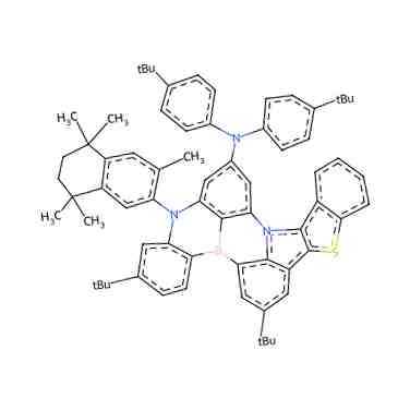 Cc1cc2c(cc1N1c3cc(C(C)(C)C)ccc3B3c4c1cc(N(c1ccc(C(C)(C)C)cc1)c1ccc(C(C)(C)C)cc1)cc4-n1c4c3cc(C(C)(C)C)cc4c3sc4ccccc4c31)C(C)(C)CCC2(C)C